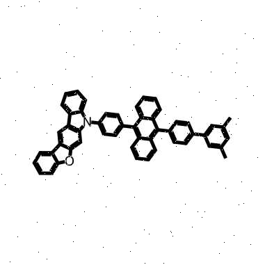 Cc1cc(C)cc(-c2ccc(-c3c4ccccc4c(-c4ccc(-n5c6ccccc6c6cc7c(cc65)oc5ccccc57)cc4)c4ccccc34)cc2)c1